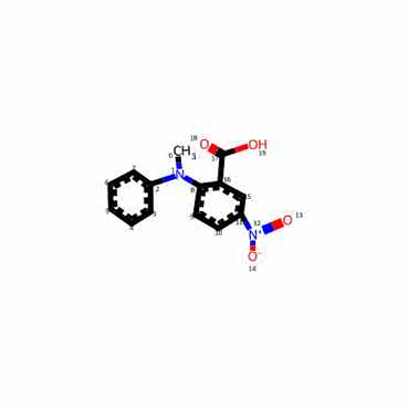 CN(c1ccccc1)c1ccc([N+](=O)[O-])cc1C(=O)O